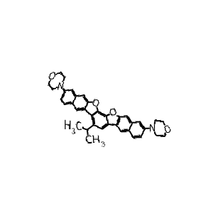 CC(C)c1cc2c3cc4ccc(N5CCOCC5)cc4cc3oc2c2oc3cc4cc(N5CCOCC5)ccc4cc3c12